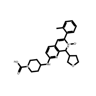 Cc1ccccc1C1=Cc2ccc(NC3CCN(C(=O)O)CC3)nc2C(C2CCOC2)[NH+]1[O-]